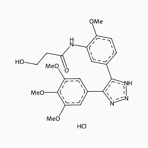 COc1ccc(-c2[nH]nnc2-c2cc(OC)c(OC)c(OC)c2)cc1NC(=O)CCO.Cl